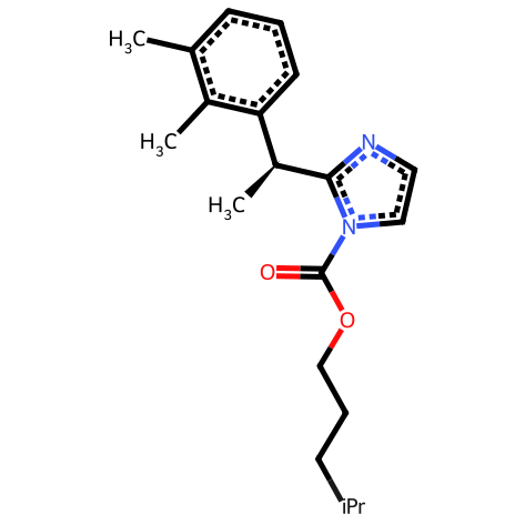 Cc1cccc([C@H](C)c2nccn2C(=O)OCCCC(C)C)c1C